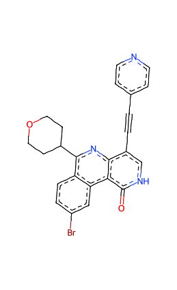 O=c1[nH]cc(C#Cc2ccncc2)c2nc(C3CCOCC3)c3ccc(Br)cc3c12